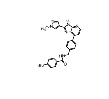 Cn1cc(-c2nc3c(-c4ccc(CNC(=O)c5ccc(C(C)(C)C)cc5)cc4)ccnc3[nH]2)cn1